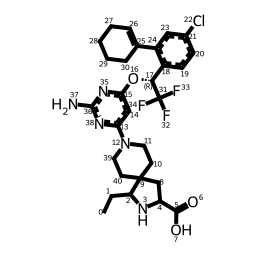 CCC1NC(C(=O)O)CC12CCN(c1cc(O[C@H](c3ccc(Cl)cc3C3=CCCCC3)C(F)(F)F)nc(N)n1)CC2